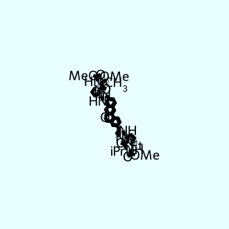 CC[C@H]1CC[C@@H](c2ncc(-c3ccc4c(c3)COc3cc5c(ccc6nc([C@@H]7CCCN7C(=O)[C@@H](NC(=O)OC)[C@@H](C)OC)[nH]c65)cc3-4)[nH]2)N1C(=O)C(NC(=O)OC)C(C)C